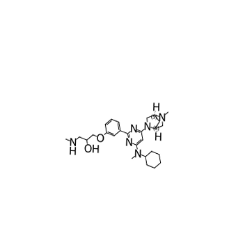 CNCC(O)COc1cccc(-c2nc(N(C)C3CCCCC3)cc(N3C[C@@H]4C[C@H]3CN4C)n2)c1